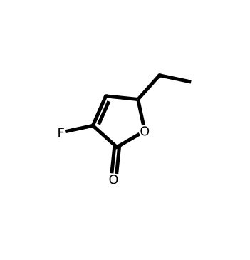 CCC1C=C(F)C(=O)O1